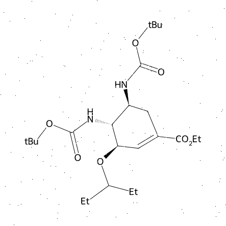 CCOC(=O)C1=C[C@@H](OC(CC)CC)[C@H](NC(=O)OC(C)(C)C)[C@@H](NC(=O)OC(C)(C)C)C1